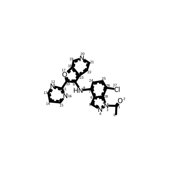 CC(=O)n1ncc2c(Nc3c(-c4ncccn4)oc4cnccc34)ccc(Cl)c21